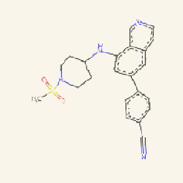 CS(=O)(=O)N1CCC(Nc2cc(-c3ccc(C#N)cc3)cc3ccncc23)CC1